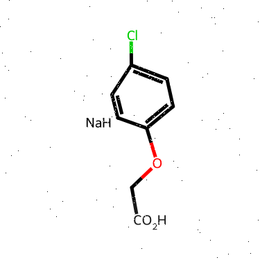 O=C(O)COc1ccc(Cl)cc1.[NaH]